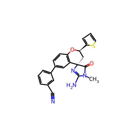 CN1C(=O)[C@@]2(C[C@H](c3cccs3)Oc3ccc(-c4cccc(C#N)c4)cc32)N=C1N